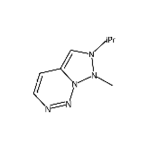 CC(C)N1C=C2C=CN=NN2N1C